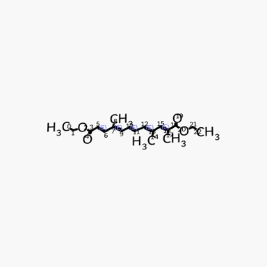 CCOC(=O)/C=C/C(C)=C/C=C/C=C(C)/C=C(\C)C(=O)OCC